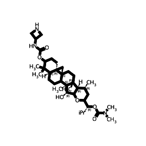 CC(C)[C@@H](OC(=O)N(C)C)C1C[C@@H](C)[C@H]2C(O1)[C@H](O)[C@@]1(C)C3CC[C@H]4C(C)(C)C(OC(=O)NC5CNC5)CC[C@@]45C[C@@]35CC[C@]21C